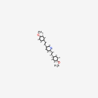 COc1ccc(/C=C/c2ccc(/C=C/c3ccc(OC)cc3)nc2)cc1